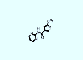 CCCc1cc(C(=O)Nc2ncccn2)cs1